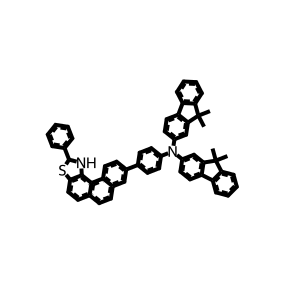 CC1(C)c2ccccc2-c2ccc(N(c3ccc(-c4ccc5c(ccc6ccc7c(c65)NC(c5ccccc5)S7)c4)cc3)c3ccc4c(c3)C(C)(C)c3ccccc3-4)cc21